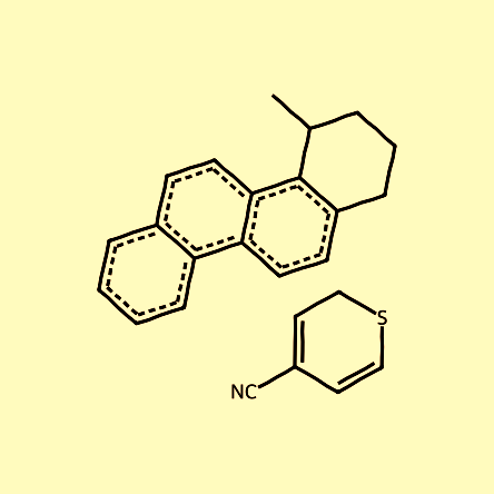 CC1CCCc2ccc3c(ccc4ccccc43)c21.N#CC1=CCSC=C1